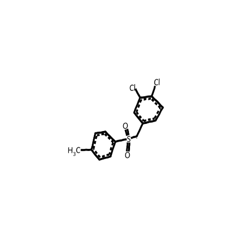 Cc1ccc(S(=O)(=O)[CH]c2ccc(Cl)c(Cl)c2)cc1